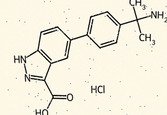 CC(C)(N)c1ccc(-c2ccc3[nH]nc(C(=O)O)c3c2)cc1.Cl